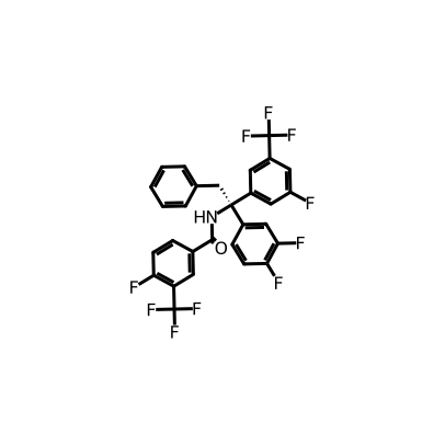 O=C(N[C@@](Cc1ccccc1)(c1cc(F)cc(C(F)(F)F)c1)c1ccc(F)c(F)c1)c1ccc(F)c(C(F)(F)F)c1